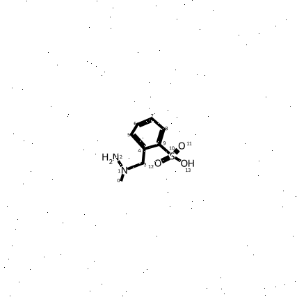 CN(N)Cc1ccccc1S(=O)(=O)O